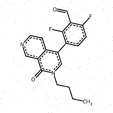 CCCCn1cc(-c2ccc(F)c(C=O)c2F)c2ccncc2c1=O